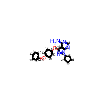 Nc1ncnc2c1c(Oc1ccc(Oc3ccccc3)cc1)nn2C1CCCC1